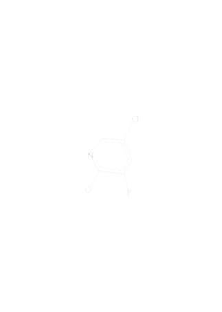 [O]c1ncc(Cl)cc1F